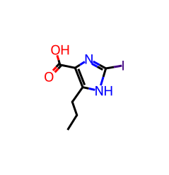 CCCc1[nH]c(I)nc1C(=O)O